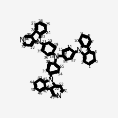 c1ccc2c(c1)c1ccccc1n2-c1ccc(N(c2ccc(-n3c4ccccc4c4cnccc43)cc2)c2ccc(-n3c4ccccc4c4cnccc43)cc2)cc1